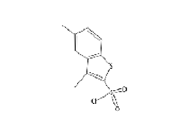 Cc1ccc2sc(S(=O)(=O)Cl)c(C)c2c1